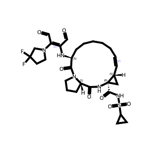 O=C/C(N[C@H]1CCCCC/C=C\[C@@H]2C[C@@]2(C(=O)NS(=O)(=O)C2CC2)NC(=O)[C@@H]2CCCN2C1=O)=C(\C=O)N1CCC(F)(F)C1